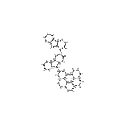 c1ccc2c(c1)oc1c(-c3ccc4c(c3)c3ccccc3n4-c3cc4ccc5ccc6ccc7cccc8c(c3)c4c5c6c78)cccc12